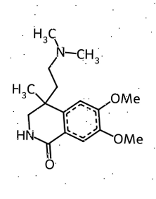 COc1cc2c(cc1OC)C(C)(CCN(C)C)CNC2=O